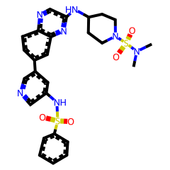 CN(C)S(=O)(=O)N1CCC(Nc2cnc3ccc(-c4cncc(NS(=O)(=O)c5ccccc5)c4)cc3n2)CC1